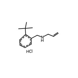 C=CCNCc1ccccc1C(C)(C)C.Cl